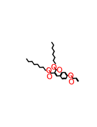 C=CC(=O)Oc1ccc(C=C(C(=O)OCCCCCCCC)C(=O)OCCCCCCCC)cc1